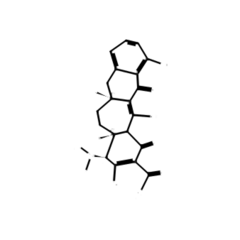 CN(C)[C@@H]1C(O)=C(C(N)=O)C(=O)C2C(O)=C3C(=O)c4c(O)cccc4C[C@H]3CC[C@H]21